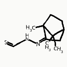 CC12CCC(CC1=NNC=S)C2(C)C